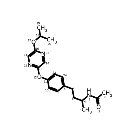 CC(=O)NC(C)CCc1ccc(Oc2cnc(OC(C)C)cn2)cc1